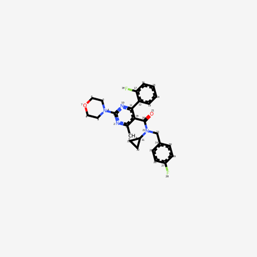 Cc1nc(N2CCOCC2)nc(-c2ccccc2F)c1C(=O)N(Cc1ccc(F)cc1)C1CC1